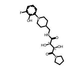 O=C(NCC1CCN(c2cccc(F)c2O)CC1)[C@H](O)[C@@H](O)C(=O)N1CCCC1